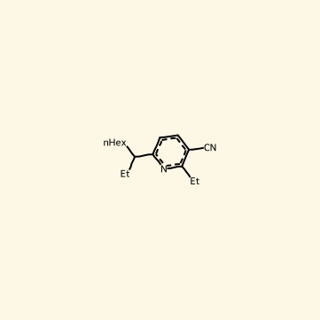 CCCCCCC(CC)c1ccc(C#N)c(CC)n1